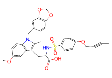 CC#CCOc1ccc(S(=O)(=O)NC(Cc2c(C)n(Cc3ccc4c(c3)OCO4)c3ccc(OC)cc23)C(=O)O)cc1